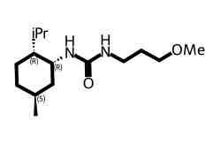 COCCCNC(=O)N[C@@H]1C[C@@H](C)CC[C@@H]1C(C)C